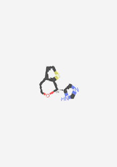 c1ncc([C@@H]2OCCc3ccsc32)[nH]1